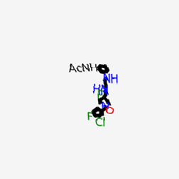 CC(=O)Nc1cccc(NCCNCC2(F)CCN(C(=O)c3ccc(F)c(Cl)c3)CC2)c1